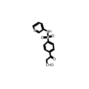 O=CCC(=O)c1ccc(S(=O)(=O)Nc2cccnc2)cc1